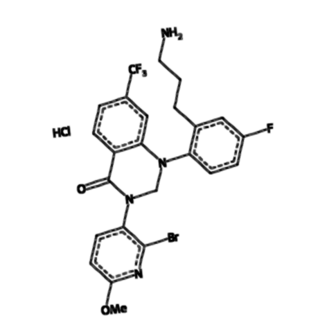 COc1ccc(N2CN(c3ccc(F)cc3CCCN)c3cc(C(F)(F)F)ccc3C2=O)c(Br)n1.Cl